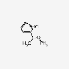 CC(OP)c1ccccc1.Cl